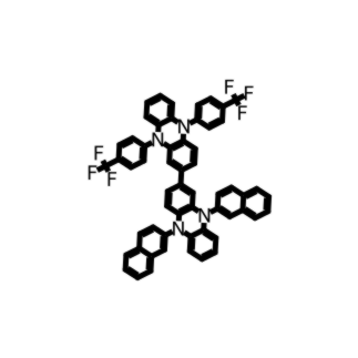 FC(F)(F)c1ccc(N2c3ccccc3N(c3ccc(C(F)(F)F)cc3)c3cc(-c4ccc5c(c4)N(c4ccc6ccccc6c4)c4ccccc4N5c4ccc5ccccc5c4)ccc32)cc1